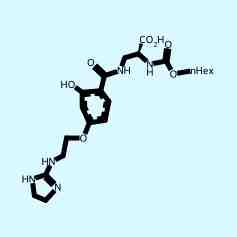 CCCCCCOC(=O)N[C@@H](CNC(=O)c1ccc(OCCNC2=NCCN2)cc1O)C(=O)O